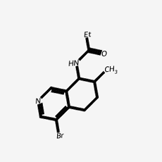 CCC(=O)NC1c2cncc(Br)c2CCC1C